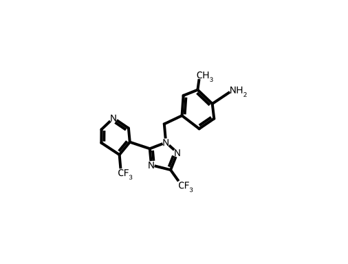 Cc1cc(Cn2nc(C(F)(F)F)nc2-c2cnccc2C(F)(F)F)ccc1N